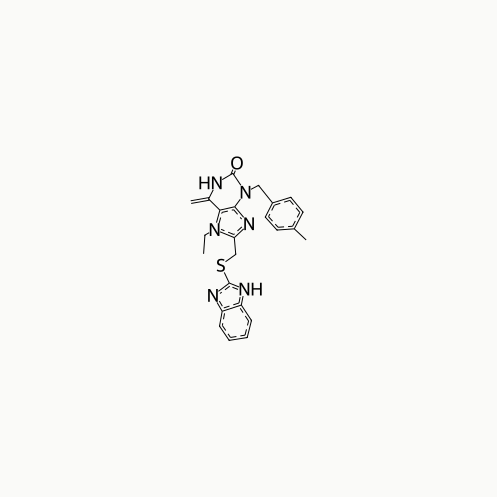 C=C1NC(=O)N(Cc2ccc(C)cc2)c2nc(CSc3nc4ccccc4[nH]3)n(CC)c21